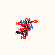 CCC(=O)NC([C@@H](O)OC)[C@H](O)[C@H](CCOCCO)O[C@@H]1OC(COCCO)[C@H](O[C@@H]2OC(COCCO)[C@H](C)[C@@H](O)C2N)[C@@H](O)C1NC(C)O